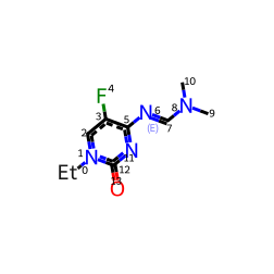 CCn1cc(F)c(/N=C/N(C)C)nc1=O